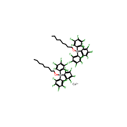 CCCCCCCC[O][Al-]([c]1c(F)c(F)c(F)c(F)c1F)([c]1c(F)c(F)c(F)c(F)c1F)[c]1c(F)c(F)c(F)c(F)c1F.CCCCCCCC[O][Al-]([c]1c(F)c(F)c(F)c(F)c1F)([c]1c(F)c(F)c(F)c(F)c1F)[c]1c(F)c(F)c(F)c(F)c1F.[Ca+2]